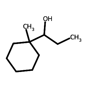 CCC(O)C1(C)CCCCC1